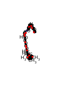 CC1=CC(C)=[N+]2C1=C(c1ccc(NC(=S)NCCOCCOCCOCCOCCC(=O)NCCN3CCN(C/C=C/C(=O)N4CCC(n5ccc6ncnc(Oc7ccc(Oc8ccccc8)cc7)c65)CC4)CC3)cc1)c1c(C)cc(C)n1[B-]2(F)F